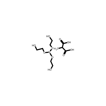 CC(C(=O)O)C(=O)O.OCCON(OCCO)OCCO